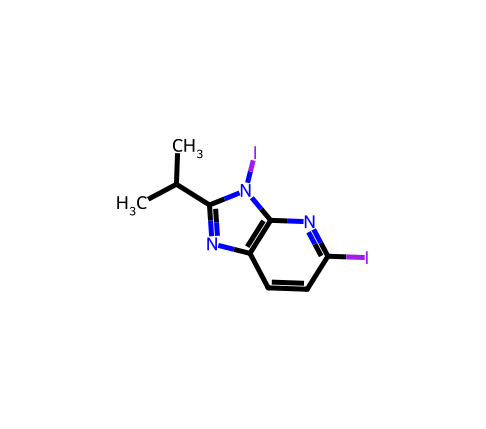 CC(C)c1nc2ccc(I)nc2n1I